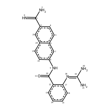 N=C(N)c1ccc2cc(NC(=O)c3ccccc3N=C(N)N)ccc2c1